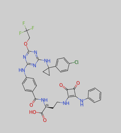 O=C(N[C@@H](CCNc1c(Nc2ccccc2)c(=O)c1=O)C(=O)O)c1ccc(Nc2nc(NC3(c4ccc(Cl)cc4)CC3)nc(OCC(F)(F)F)n2)cc1